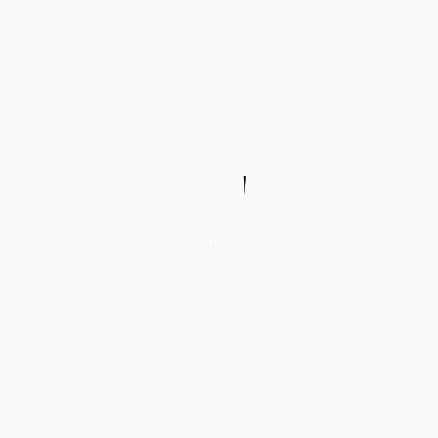 C=CCOC(=O)[C@@H](C)C1CCCCC1